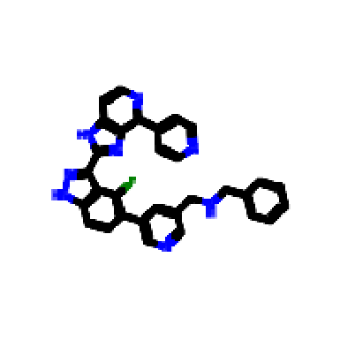 Fc1c(-c2cncc(CNCc3ccccc3)c2)ccc2[nH]nc(-c3nc4c(-c5ccncc5)nccc4[nH]3)c12